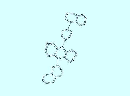 c1ccc2cc(-c3c4ccccc4c(-c4ccc(-c5cccc6ccccc56)cc4)c4cnccc34)ccc2c1